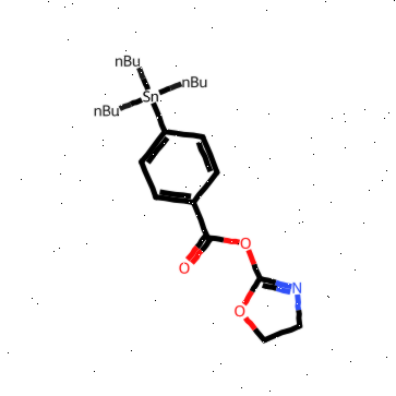 CCC[CH2][Sn]([CH2]CCC)([CH2]CCC)[c]1ccc(C(=O)OC2=NCCO2)cc1